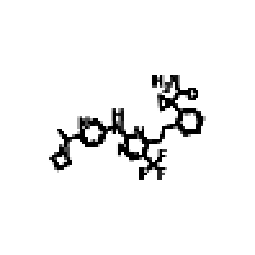 CC(c1ccc(Nc2ncc(C(F)(F)F)c(CCc3ccccc3C3(C(N)=O)CC3)n2)cn1)N1CCC1